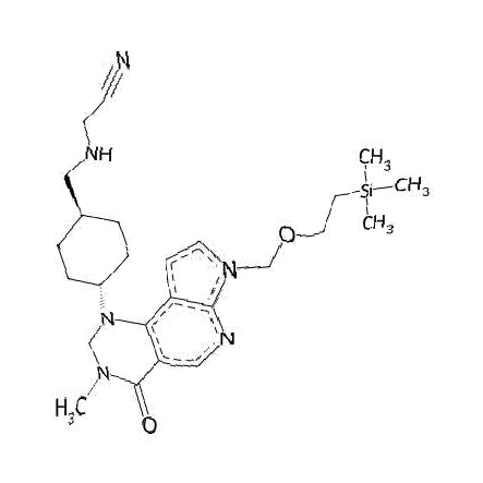 CN1CN([C@H]2CC[C@H](CNCC#N)CC2)c2c(cnc3c2ccn3COCC[Si](C)(C)C)C1=O